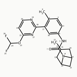 Cc1ccc(NC(=O)N2C3CC(C)CC2C3)cc1-c1nccc(OC(F)F)n1